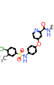 CCNC(=O)c1cc(Oc2ccc(NS(=O)(=O)c3ccc(Cl)c(C(F)(F)F)c3)cc2)ccn1